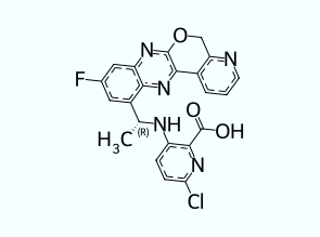 C[C@@H](Nc1ccc(Cl)nc1C(=O)O)c1cc(F)cc2nc3c(nc12)-c1cccnc1CO3